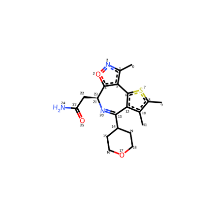 Cc1noc2c1-c1sc(C)c(C)c1C(C1CCOCC1)=N[C@H]2CC(N)=O